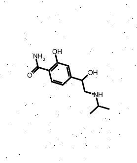 CC(C)NCC(O)c1ccc(C(N)=O)c(O)c1